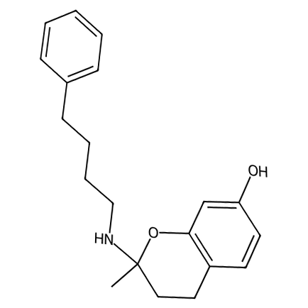 CC1(NCCCCc2ccccc2)CCc2ccc(O)cc2O1